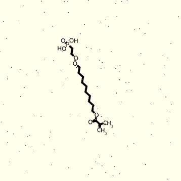 C=C(C)C(=O)OCCCCCCCCCCOOCCP(=O)(O)O